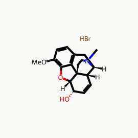 Br.COc1ccc2c3c1O[C@H]1[C@@H](O)C=C[C@H]4[C@@H](C2)N(C)CC[C@@]341